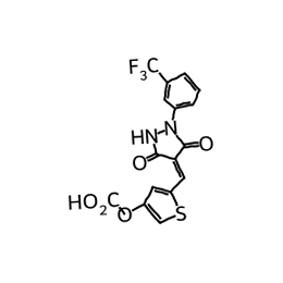 O=C(O)Oc1csc(C=C2C(=O)NN(c3cccc(C(F)(F)F)c3)C2=O)c1